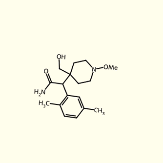 CON1CCC(CO)(C(C(N)=O)c2cc(C)ccc2C)CC1